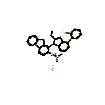 CCC1=Cc2c(-c3ccccc3Br)cccc2C1c1[c]([Zr+2][SiH](C)C)ccc2c1Cc1ccccc1-2.[Cl-].[Cl-]